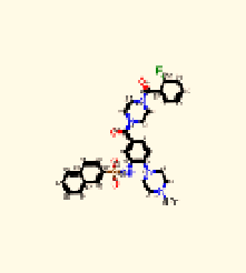 CC(C)N1CCN(c2ccc(C(=O)N3CCN(C(=O)c4ccccc4F)CC3)cc2NS(=O)(=O)c2ccc3ccccc3c2)CC1